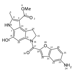 COC(=O)c1c(C)[nH]c2c(O)cc3c(c12)CCN3C(=O)c1cc2cc(N)ccc2o1